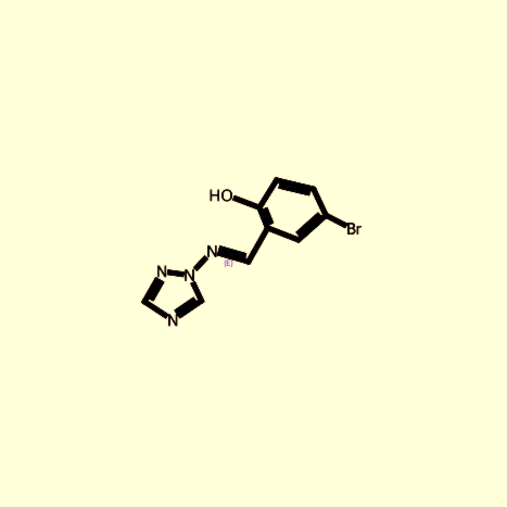 Oc1ccc(Br)cc1/C=N/n1cncn1